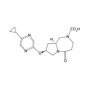 O=C(O)N1CCC(=O)N2C[C@@H](Oc3cnc(C4CC4)cn3)C[C@H]2C1